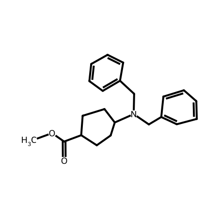 COC(=O)C1CCC(N(Cc2ccccc2)Cc2ccccc2)CC1